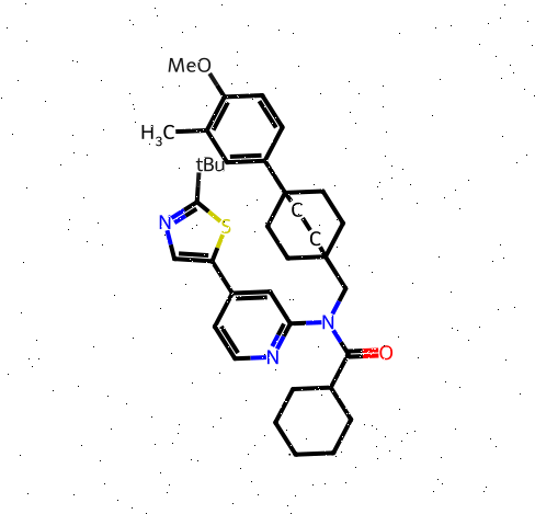 COc1ccc(C23CCC(CN(C(=O)C4CC[CH]CC4)c4cc(-c5cnc(C(C)(C)C)s5)ccn4)(CC2)CC3)cc1C